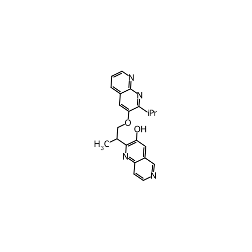 CC(C)c1nc2ncccc2cc1OCC(C)c1nc2ccncc2cc1O